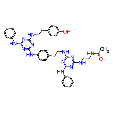 CC(=O)NCCNc1nc(NCCc2ccc(Nc3nc(NCCc4ccc(O)cc4)nc(Nc4ccccc4)n3)cc2)nc(Nc2ccccc2)n1